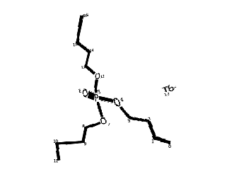 CCCCOP(=O)(OCCCC)OCCCC.[Tb]